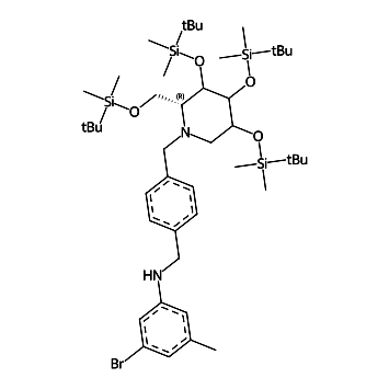 Cc1cc(Br)cc(NCc2ccc(CN3CC(O[Si](C)(C)C(C)(C)C)C(O[Si](C)(C)C(C)(C)C)C(O[Si](C)(C)C(C)(C)C)[C@H]3CO[Si](C)(C)C(C)(C)C)cc2)c1